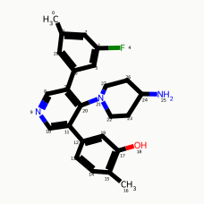 Cc1cc(F)cc(-c2cncc(-c3ccc(C)c(O)c3)c2N2CCC(N)CC2)c1